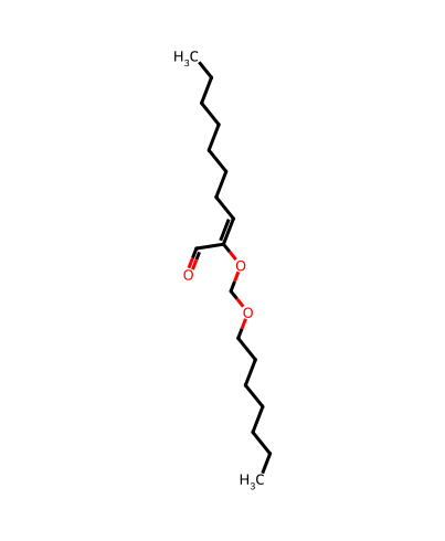 CCCCCCC/C=C(\C=O)OCOCCCCCCC